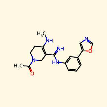 CNC1=C(C(=N)Nc2cccc(-c3cnco3)c2)CN(C(C)=O)CC1